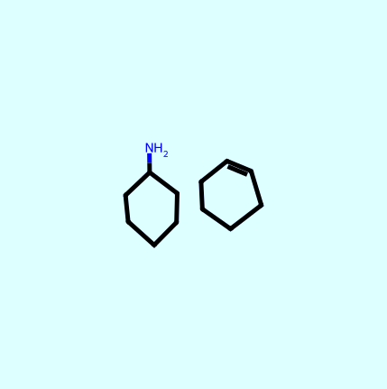 C1=CCCCC1.NC1CCCCC1